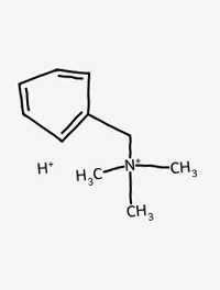 C[N+](C)(C)Cc1ccccc1.[H+]